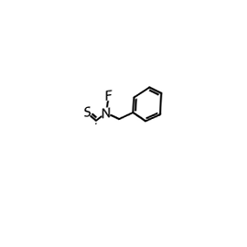 FN([C]=S)Cc1ccccc1